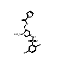 O=C(NC[C@H]1C[C@@H](NS(=O)(=O)c2cc(Br)ccc2Br)CN1C(=O)O)c1cccs1